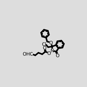 O=CCCCC(=O)ON1C(=O)c2ccccc2C1(CCl)OCc1ccccc1